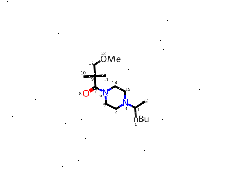 CCCCC(C)N1CCN(C(=O)C(C)(C)COC)CC1